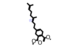 C=C(OC)C1=C(C(=O)OC)CC(CC/C=C(\C)CCC=C(C)C)=CC1